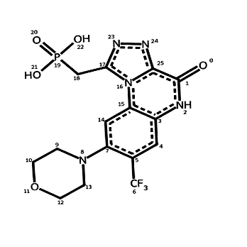 O=c1[nH]c2cc(C(F)(F)F)c(N3CCOCC3)cc2n2c(CP(=O)(O)O)nnc12